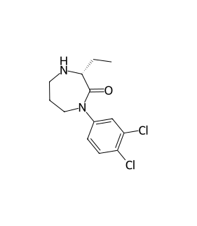 CC[C@H]1NCCCN(c2ccc(Cl)c(Cl)c2)C1=O